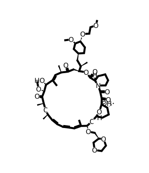 COCCO[C@@H]1CC[C@@H](C[C@@H](C)[C@@H]2CC(=O)[C@H](C)/C=C(\C)[C@@H](O)[C@@H](OC)C(=O)[C@H](C)C[C@H](C)/C=C/C=C/C=C(\C)[C@@H](OC[C@@H]3COCCO3)C[C@@H]3CC[C@@H](C)[C@@](O)(O3)C(=O)C(=O)N3CCCC[C@H]3C(=O)O2)C[C@H]1OC